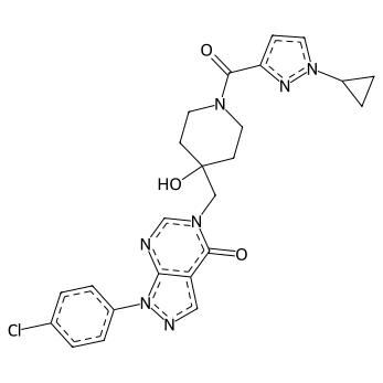 O=C(c1ccn(C2CC2)n1)N1CCC(O)(Cn2cnc3c(cnn3-c3ccc(Cl)cc3)c2=O)CC1